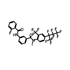 O=C(Nc1cccc(C(=O)N(I)c2ccc(C(F)(C(F)(F)F)C(F)(F)C(F)(F)F)cc2C(F)(F)F)c1)c1ccccc1F